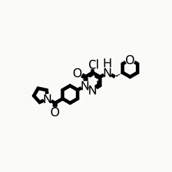 O=C(C1CCC(n2ncc(NC[C@H]3CCCOC3)c(Cl)c2=O)CC1)N1CCCC1